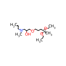 C=CCN(C)CC(O)COCCC[Si](C)(OCC)OCC